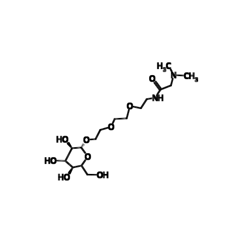 CN(C)CC(=O)NCCOCCOCCO[C@@H]1OC(CO)[C@@H](O)C(O)[C@H]1O